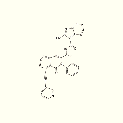 C[C@@H](NC(=O)c1c(N)nn2cccnc12)c1nc2cccc(C#Cc3cccnc3)c2c(=O)n1-c1ccccc1